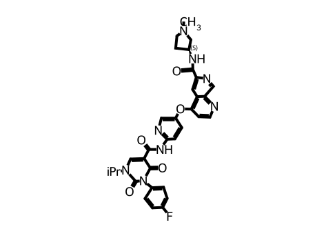 CC(C)n1cc(C(=O)Nc2ccc(Oc3ccnc4cnc(C(=O)N[C@H]5CCN(C)C5)cc34)cn2)c(=O)n(-c2ccc(F)cc2)c1=O